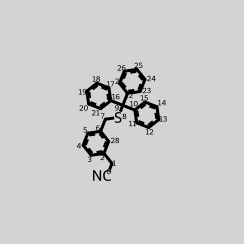 N#CCc1cccc(CSC(c2ccccc2)(c2ccccc2)c2ccccc2)c1